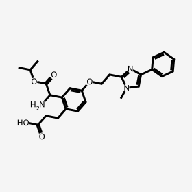 CC(C)OC(=O)C(N)c1cc(OCCc2nc(-c3ccccc3)cn2C)ccc1CCC(=O)O